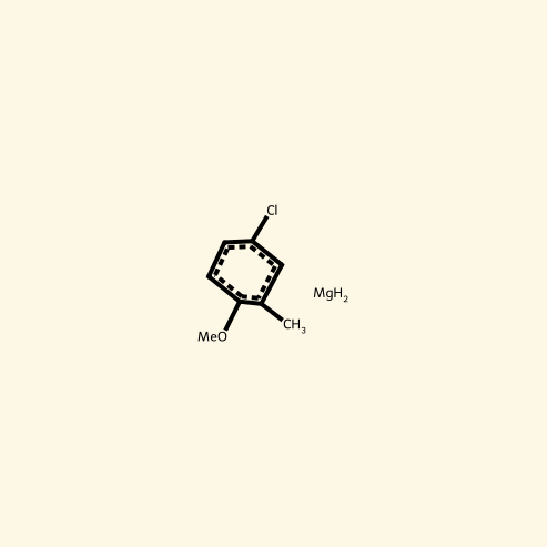 COc1ccc(Cl)cc1C.[MgH2]